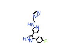 Fc1ccc(-c2n[nH]cc2-c2ccnc(NCCn3ccnc3)c2)cc1